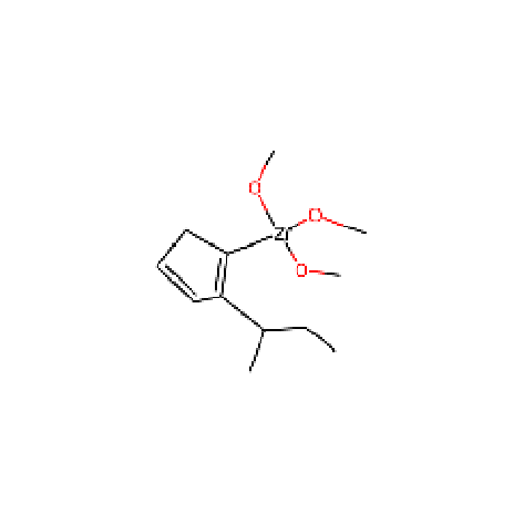 CCC(C)C1=[C]([Zr]([O]C)([O]C)[O]C)CC=C1